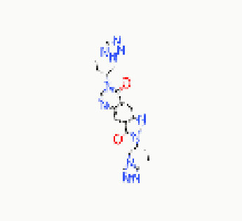 CC[C@H](Cn1cnnc1)n1cnc2cc3c(=O)n([C@H](CC)Cn4ncnn4)cnc3cc2c1=O